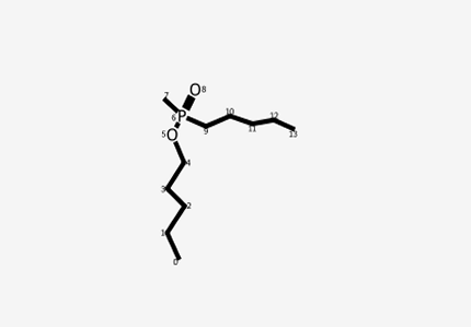 CCCCCOP(C)(=O)CCCCC